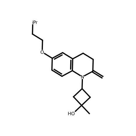 C=C1CCc2cc(OCCC(C)C)ccc2N1C1CC(C)(O)C1